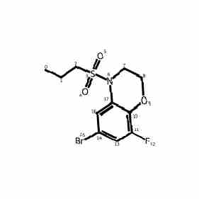 CCCS(=O)(=O)N1CCOc2c(F)cc(Br)cc21